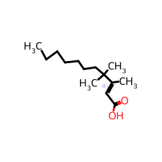 CCCCCCCC(C)(C)/C(C)=C/C(=O)O